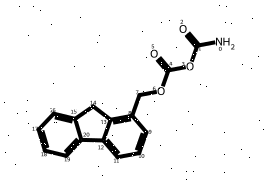 NC(=O)OC(=O)OCc1cccc2c1Cc1ccccc1-2